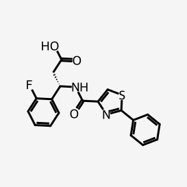 O=C(O)C[C@H](NC(=O)c1csc(-c2ccccc2)n1)c1ccccc1F